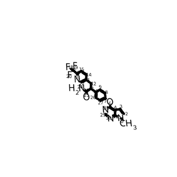 Cn1ccc2c(Oc3ccc(C(Cc4ccc(C(F)(F)F)nc4)C(N)=O)cc3)ncnc21